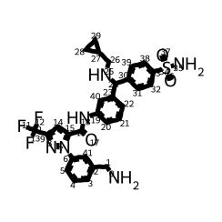 NCc1cccc(-n2nc(C(F)(F)F)cc2C(=O)Nc2cccc(C(NCC3CC3)c3ccc(S(N)(=O)=O)cc3)c2)c1